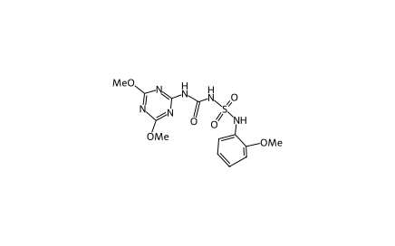 COc1nc(NC(=O)NS(=O)(=O)Nc2ccccc2OC)nc(OC)n1